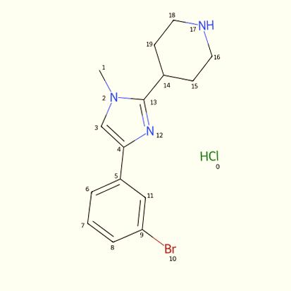 Cl.Cn1cc(-c2cccc(Br)c2)nc1C1CCNCC1